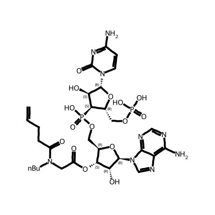 C=CCCC(=O)N(CCCC)CC(=O)O[C@H]1[C@@H](O)[C@H](n2cnc3c(N)ncnc32)O[C@@H]1COP(=O)(O)[C@H]1[C@@H](O)[C@H](n2ccc(N)nc2=O)O[C@@H]1COP(=O)(O)O